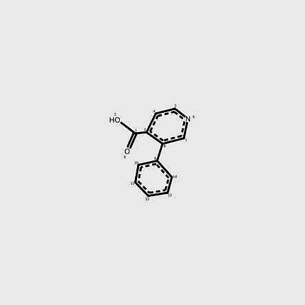 O=C(O)c1ccncc1-c1ccccc1